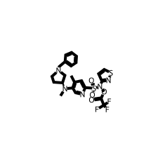 Cc1cc(S(=O)(=O)N(OC(=O)C(F)(F)F)c2ccsn2)ncc1N(C)[C@H]1CCN(Cc2ccccc2)C1